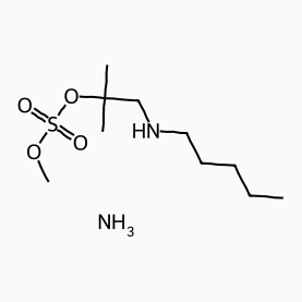 CCCCCNCC(C)(C)OS(=O)(=O)OC.N